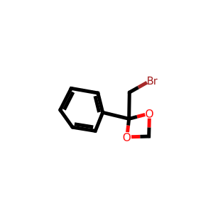 BrCC1(c2ccccc2)OCO1